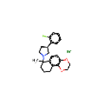 CC1(N2CCC(c3ccccc3F)C2)CCCc2c1ccc1c2OCCO1.Cl